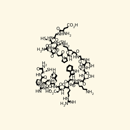 C[C@H](NC(=O)[C@H](Cc1c[nH]cn1)NC(=O)[C@H](CC(=O)O)NC(=O)[C@H](CCCNC(=N)N)NC(=O)[C@H](Cc1c[nH]c2ccccc12)NC(=O)[C@H](CCCCN)NC(=O)[C@H](CO)NC(=O)[C@H](CO)NC(=O)[C@H](CS)NC(=O)CNC(=O)[C@H](CCCCN)NC(=O)[C@@H]1CCCN1C(=O)CNC(=O)[C@H](CC(N)=O)NC(=O)[C@H](CS)NC(=O)[C@H](CS)NC(=O)CNC(=O)[C@@H](N)CCC(=O)O)C(=O)N[C@@H](CCCNC(=N)N)C(=O)N[C@@H](CS)C(N)=O